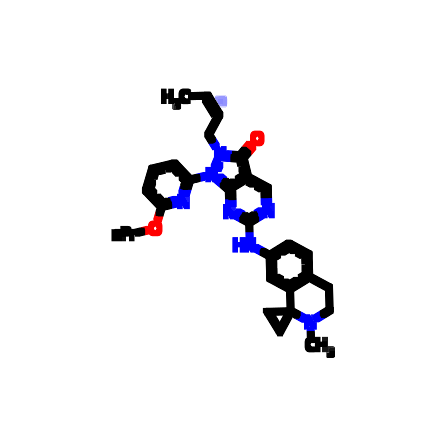 C/C=C\Cn1c(=O)c2cnc(Nc3ccc4c(c3)C3(CC3)N(C)CC4)nc2n1-c1cccc(OCCC)n1